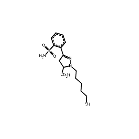 NS(=O)(=O)c1ccccc1C1=NN(CCCCCS)C(C(=O)O)C1